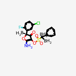 BC(B)(c1ccccc1)S(=O)(=O)OC1=C(N)O[C@](B)(c2cc(Cl)ccc2F)C1=O